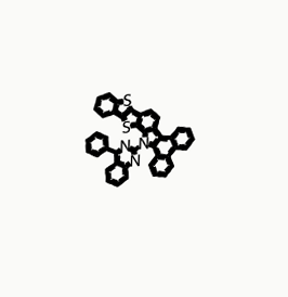 c1ccc(-c2nc(-n3c4c(ccc5c6sc7ccccc7c6sc54)c4c5ccccc5c5ccccc5c43)nc3ccccc23)cc1